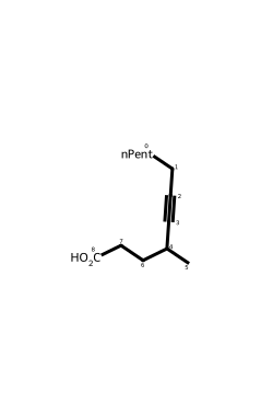 CCCCCCC#CC(C)CCC(=O)O